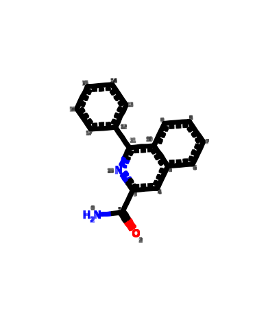 NC(=O)c1cc2ccccc2c(-c2ccccc2)n1